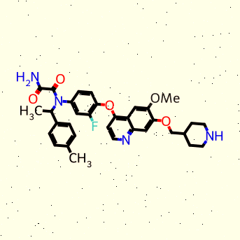 COc1cc2c(Oc3ccc(N(C(=O)C(N)=O)C(C)c4ccc(C)cc4)cc3F)ccnc2cc1OCC1CCNCC1